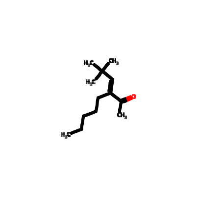 CCCCC/C(=C\C(C)(C)C)C(C)=O